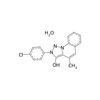 CC1=Cc2ccccc2N2[N]N(c3ccc(Cl)cc3)C(O)=C12.O